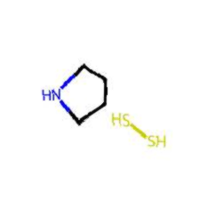 C1CCNC1.SS